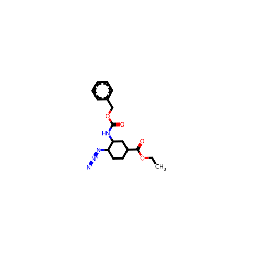 CCOC(=O)C1CCC(N=[N+]=[N-])C(NC(=O)OCc2ccccc2)C1